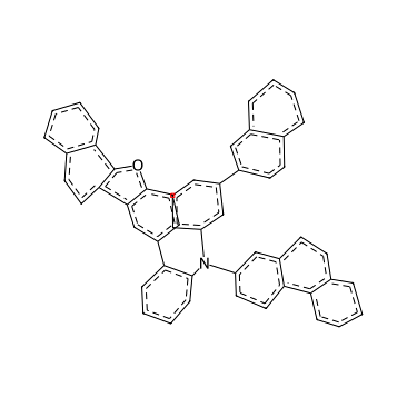 c1cc(-c2ccc3ccccc3c2)cc(N(c2ccc3c(ccc4ccccc43)c2)c2ccccc2-c2ccc3oc4c5ccccc5ccc4c3c2)c1